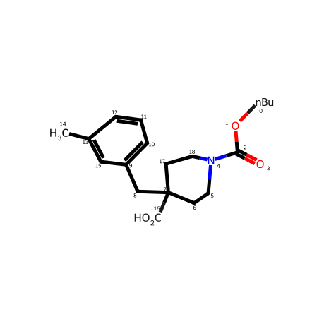 CCCCOC(=O)N1CCC(Cc2cccc(C)c2)(C(=O)O)CC1